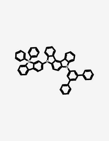 c1ccc(-c2cc(-c3ccccc3)cc(-n3c4ccccc4c4c5c6ccccc6n(-c6ccc7c(c6)[Si](c6ccccc6)(c6ccccc6)c6ccccc6-7)c5ccc43)c2)cc1